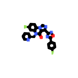 O=c1c2c(-c3noc(-c4ccc(F)cc4)n3)ncn2c2ccc(F)cc2n1Cc1ccccn1